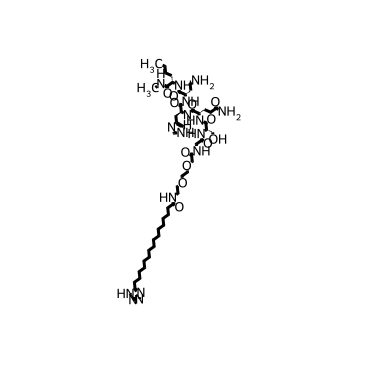 CCCC[C@H](NC(=O)[C@H](CCN)NC(=O)[C@H](Cc1c[nH]cn1)NC(=O)[C@H](CCC(N)=O)NC(=O)[C@H](CO)NC(=O)CNC(=O)COCCOCCNC(=O)CCCCCCCCCCCCCCCc1nnn[nH]1)C(=O)NC